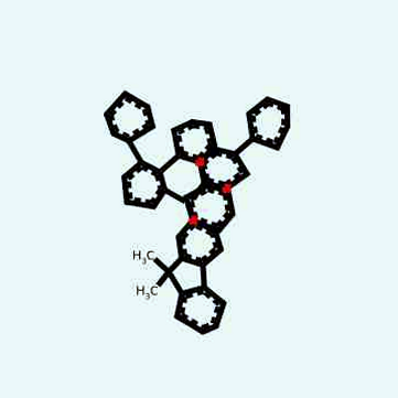 CC1(C)c2ccccc2-c2ccc(N(c3ccc(-c4ccccc4)cc3)c3cccc(-c4ccccc4)c3-c3ccccc3-c3ccccc3)cc21